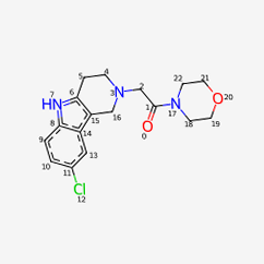 O=C(CN1CCc2[nH]c3ccc(Cl)cc3c2C1)N1CCOCC1